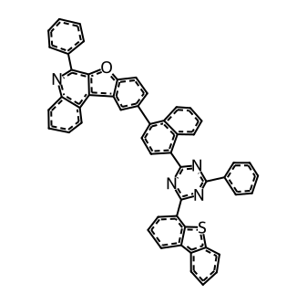 c1ccc(-c2nc(-c3ccc(-c4ccc5oc6c(-c7ccccc7)nc7ccccc7c6c5c4)c4ccccc34)nc(-c3cccc4c3sc3ccccc34)n2)cc1